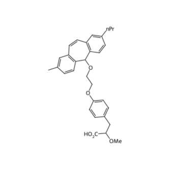 CCCc1ccc2c(c1)C=Cc1cc(C)ccc1C2OCCOc1ccc(CC(OC)C(=O)O)cc1